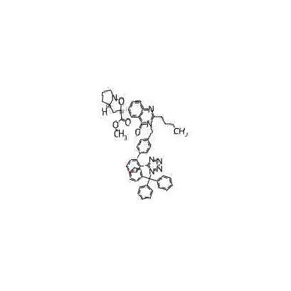 CCCCc1nc2ccc([C@]3(C(=O)OC)C[C@H]4CCCN4O3)cc2c(=O)n1Cc1ccc(-c2ccccc2-c2nnnn2C(c2ccccc2)(c2ccccc2)c2ccccc2)cc1